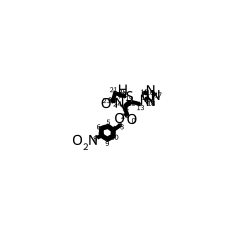 O=C(OCc1ccc([N+](=O)[O-])cc1)C1=C(Cn2cnnn2)S[C@@H]2CC(=O)N12